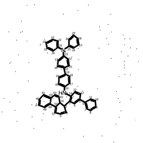 C1=CC(c2cc(-c3ccccc3)ccc2Nc2ccc(-c3ccc(N(c4ccccc4)c4ccccc4)cc3)cc2)C2C=Cc3ccccc3C2=C1